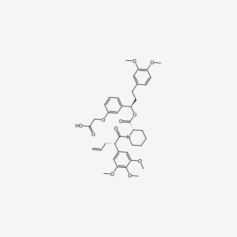 C=CC[C@H](C(=O)N1CCCC[C@H]1C(=O)O[C@H](CCc1ccc(OC)c(OC)c1)c1cccc(OCC(=O)O)c1)c1cc(OC)c(OC)c(OC)c1